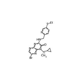 CCSc1ccc(CNc2nc3ncc(Br)nc3n([C@@H](C)C3CC3)c2=O)nc1